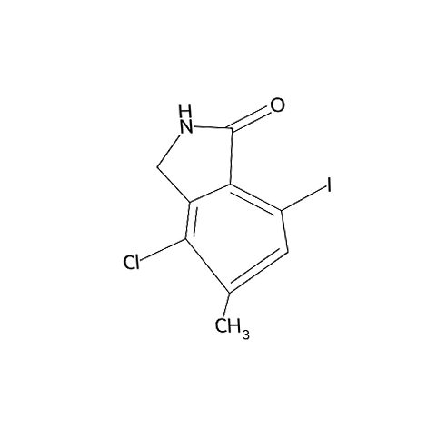 Cc1cc(I)c2c(c1Cl)CNC2=O